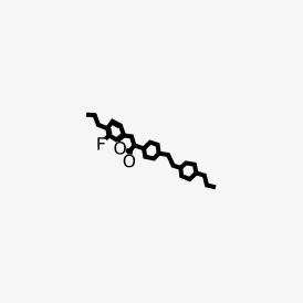 CCCc1ccc2c(c1F)OC(=O)C(C1CCC(CCC3CCC(CCC)CC3)CC1)C2